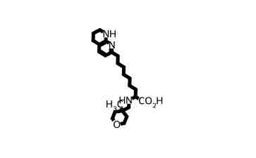 CC1(CNC(CCCCCCCc2ccc3c(n2)NCCC3)C(=O)O)CCOCC1